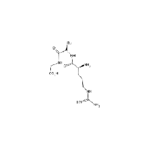 CC[C@H](C)[C@H](NC(=O)[C@@H](N)CCCNC(=N)N)C(=O)NCC(=O)O